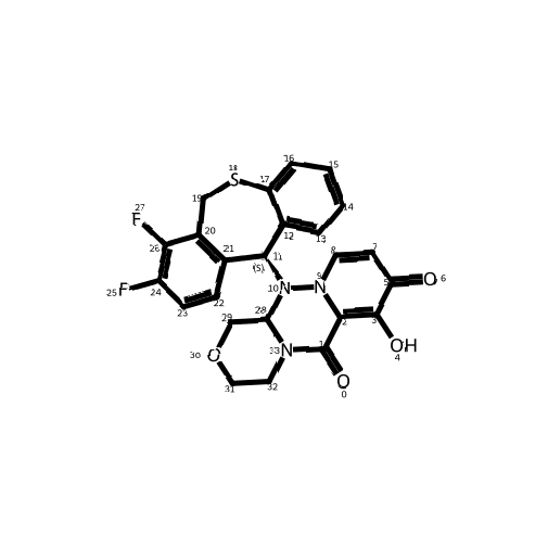 O=C1c2c(O)c(=O)ccn2N([C@@H]2c3ccccc3SCc3c2ccc(F)c3F)C2COCCN12